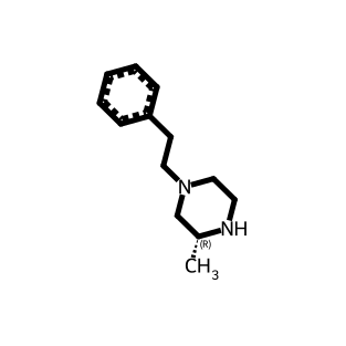 C[C@@H]1CN(CCc2ccccc2)CCN1